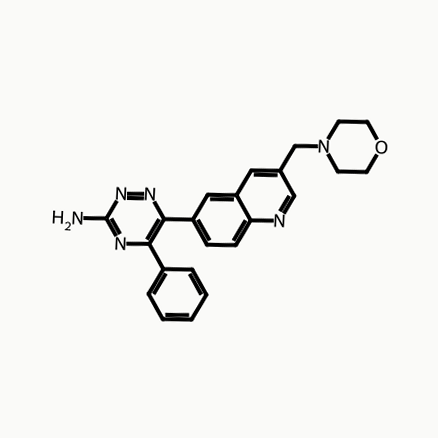 Nc1nnc(-c2ccc3ncc(CN4CCOCC4)cc3c2)c(-c2ccccc2)n1